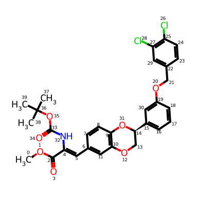 COC(=O)C(=Cc1ccc2c(c1)OC[C@H](c1cccc(OCc3ccc(Cl)c(Cl)c3)c1)O2)NC(=O)OC(C)(C)C